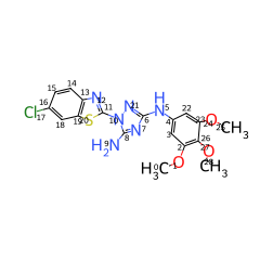 COc1cc(Nc2nc(N)n(-c3nc4ccc(Cl)cc4s3)n2)cc(OC)c1OC